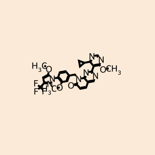 COc1cc(Cn2c(=O)ccc3cnc(-c4c(OC)ncnc4C4CC4)nc32)ccc1-n1nc(C(F)(F)F)cc1OC